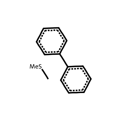 CSC.c1ccc(-c2ccccc2)cc1